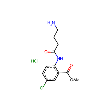 COC(=O)c1cc(Cl)ccc1NC(=O)CCCN.Cl